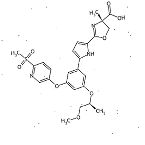 COC[C@H](C)Oc1cc(Oc2ccc(S(C)(=O)=O)nc2)cc(-c2ccc(C3=N[C@](C)(C(=O)O)CO3)[nH]2)c1